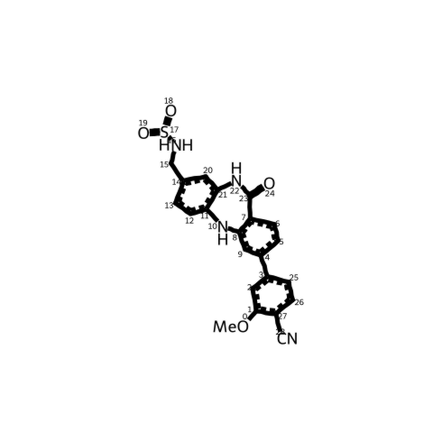 COc1cc(-c2ccc3c(c2)Nc2ccc(CN[SH](=O)=O)cc2NC3=O)ccc1C#N